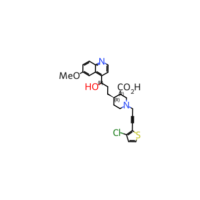 COc1ccc2nccc([C@H](O)CC[C@@H]3CCN(CC#Cc4sccc4Cl)C[C@@H]3C(=O)O)c2c1